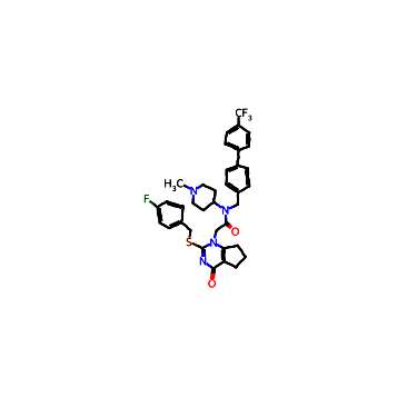 CN1CCC(N(Cc2ccc(-c3ccc(C(F)(F)F)cc3)cc2)C(=O)Cn2c(SCc3ccc(F)cc3)nc(=O)c3c2CCC3)CC1